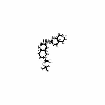 CC(C)(C)OC(=O)N1CCc2ncc(Nc3ncc4c(n3)CNCC4)cc2C1